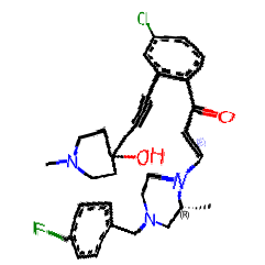 C[C@@H]1CN(Cc2ccc(F)cc2)CCN1/C=C/C(=O)c1ccc(Cl)cc1C#CC1(O)CCN(C)CC1